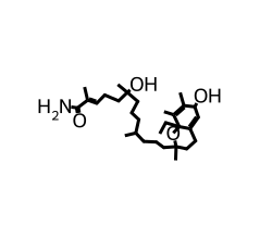 CCC12OC(C)(CCCC(C)CCCC(C)(O)CC/C=C(\C)C(N)=O)CCC1=CC(O)C(C)=C2C